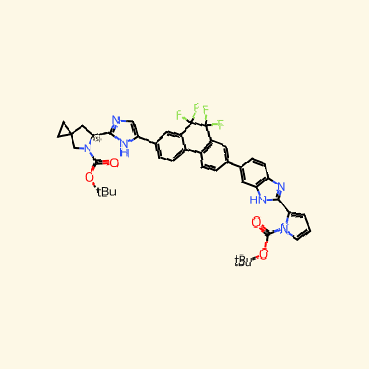 CC(C)(C)OC(=O)N1CC2(CC2)C[C@H]1c1ncc(-c2ccc3c(c2)C(F)(F)C(F)(F)c2cc(-c4ccc5nc(-c6cccn6C(=O)OC(C)(C)C)[nH]c5c4)ccc2-3)[nH]1